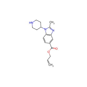 C=CCOC(=O)c1ccc2c(c1)nc(C)n2C1CCNCC1